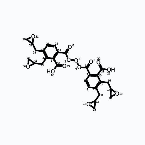 O=C(OOOC(=O)c1ccc(CC2CO2)c(CC2CO2)c1C(=O)O)c1ccc(CC2CO2)c(CC2CO2)c1C(=O)O